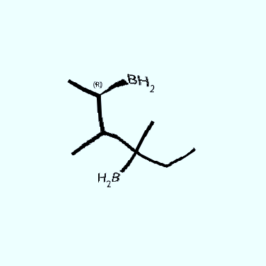 B[C@H](C)C(C)C(B)(C)CC